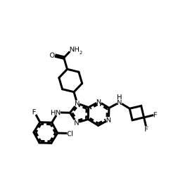 NC(=O)C1CCC(n2c(Nc3c(F)cccc3Cl)nc3cnc(NC4CC(F)(F)C4)nc32)CC1